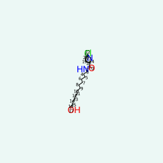 O=C(NCCCCCCCCCCCCCCO)c1ccc(Cl)nc1